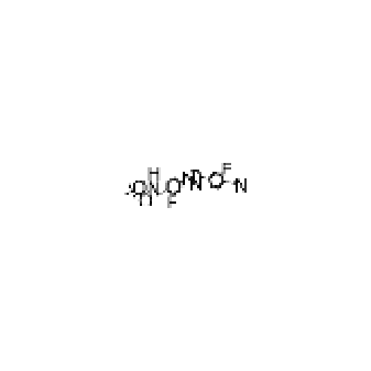 CC(C)(C)OC(=O)NCc1ccc(-n2ccc(-c3ccc(C#N)c(F)c3)n2)cc1F